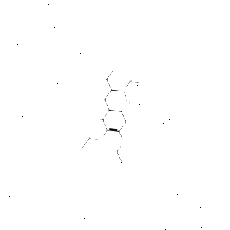 CCOC1=C(OCC)CC(CC(CC)N(N)CO)CC1